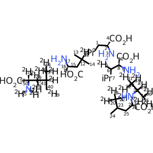 CC(C)C[C@H](N)C(=O)O.[2H]C(C(C)C)[C@H](N)C(=O)O.[2H]C(C)(C)C[C@H](N)C(=O)O.[2H]C([2H])([2H])C(C)C[C@H](NC([2H])(C([2H])([2H])[2H])C([2H])([2H])[2H])C(=O)O.[2H]CC([2H])(C([2H])([2H])[2H])C([2H])([2H])[C@@]([2H])(C(=O)O)N([2H])[2H]